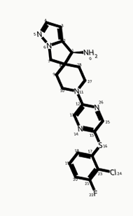 N[C@@H]1c2ccnn2CC12CCN(c1cnc(Sc3cccc(F)c3Cl)cn1)CC2